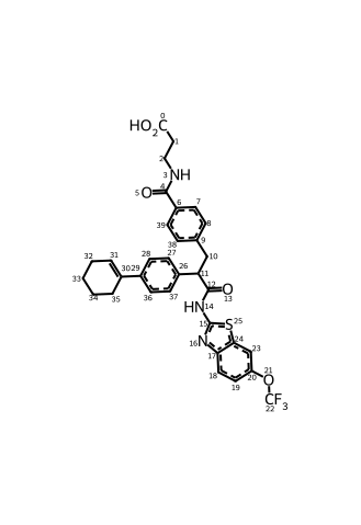 O=C(O)CCNC(=O)c1ccc(CC(C(=O)Nc2nc3ccc(OC(F)(F)F)cc3s2)c2ccc(C3=CCCCC3)cc2)cc1